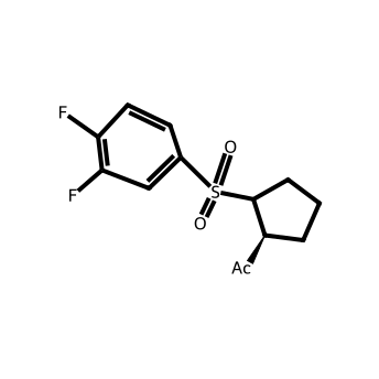 CC(=O)[C@@H]1CCCC1S(=O)(=O)c1ccc(F)c(F)c1